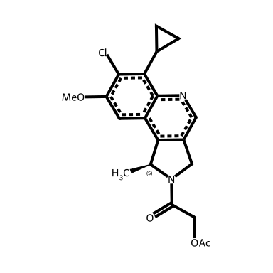 COc1cc2c3c(cnc2c(C2CC2)c1Cl)CN(C(=O)COC(C)=O)[C@H]3C